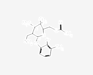 CC(=O)OCC1O[C@@H](Oc2cccc(C)c2Br)C(CN)[C@@H](C)[C@H]1C